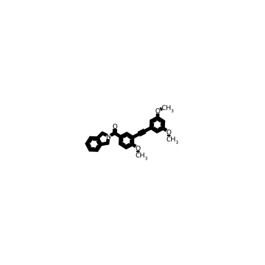 COc1cc(C#Cc2cc(C(=O)N3Cc4ccccc4C3)ccc2OC)cc(OC)c1